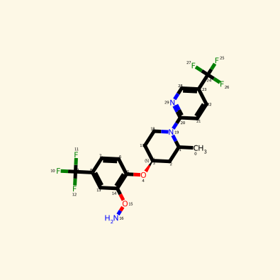 CC1C[C@@H](Oc2ccc(C(F)(F)F)cc2ON)CCN1c1ccc(C(F)(F)F)cn1